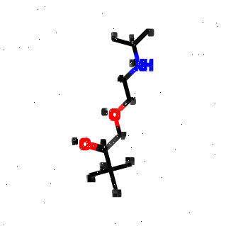 CC(C)NCCOCC(=O)C(C)(C)C